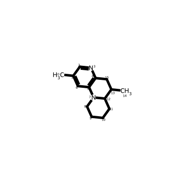 Cc1cnc2c(c1)N1CCCCC1C(C)C2